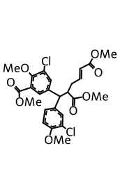 COC(=O)C=CCC(C(=O)OC)C(c1ccc(OC)c(Cl)c1)c1cc(Cl)c(OC)c(C(=O)OC)c1